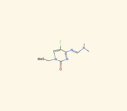 CSCn1cc(F)c(/N=C/N(C)C)nc1=O